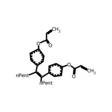 C=CC(=O)Oc1ccc(C(CCCCC)=C(CCCCC)c2ccc(OC(=O)C=C)cc2)cc1